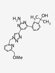 COCc1cccc(Cn2cc(-c3cc(-c4cccc(C(C)(C)O)c4)nc(N)n3)nn2)n1